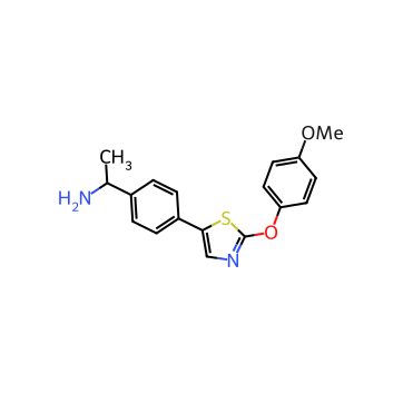 COc1ccc(Oc2ncc(-c3ccc(C(C)N)cc3)s2)cc1